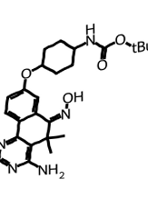 CC(C)(C)OC(=O)NC1CCC(Oc2ccc3c(c2)/C(=N\O)C(C)(C)c2c(N)ncnc2-3)CC1